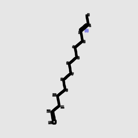 C/C=C/CCCCCCCCCC=O